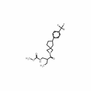 CCC(CNC(=O)OC)C(=O)N1CC2(CCC(c3ccc(C(F)(F)F)cc3)C2)C1